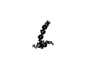 CCc1nc2ccc(OC)cn2c1C(=O)NCc1ccc(N2CCC(c3ccc(OC(F)(F)F)cc3)CC2)cc1